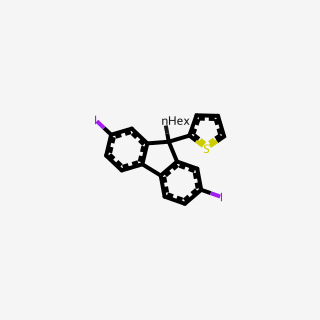 CCCCCCC1(c2cccs2)c2cc(I)ccc2-c2ccc(I)cc21